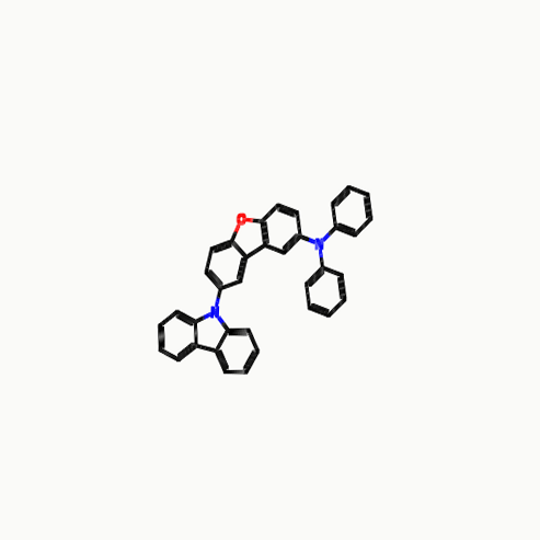 c1ccc(N(c2ccccc2)c2ccc3oc4ccc(-n5c6ccccc6c6ccccc65)cc4c3c2)cc1